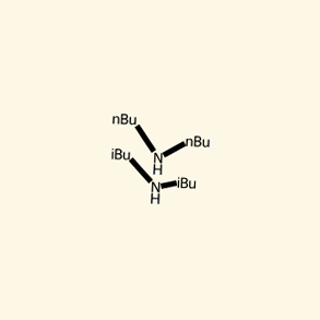 CCC(C)NC(C)CC.CCCCNCCCC